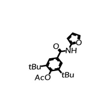 CC(=O)Oc1c(C(C)(C)C)cc(C(=O)Nc2ccco2)cc1C(C)(C)C